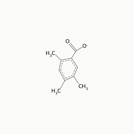 Cc1cc(C)c(C([O])=O)cc1C